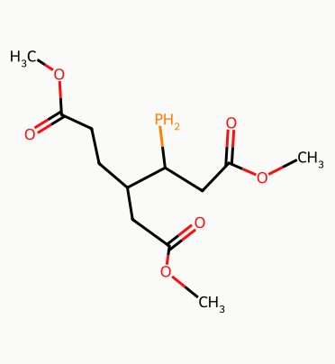 COC(=O)CCC(CC(=O)OC)C(P)CC(=O)OC